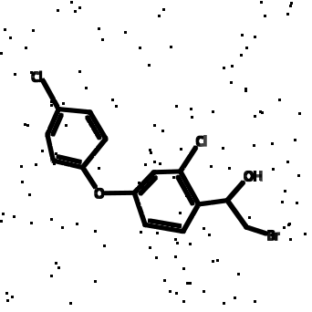 OC(CBr)c1ccc(Oc2ccc(Cl)cc2)cc1Cl